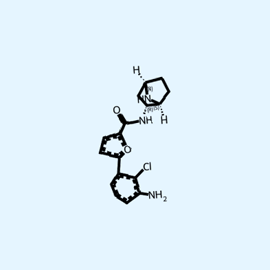 Nc1cccc(-c2ccc(C(=O)N[C@@H]3C[C@H]4CC[C@@H]3N4)o2)c1Cl